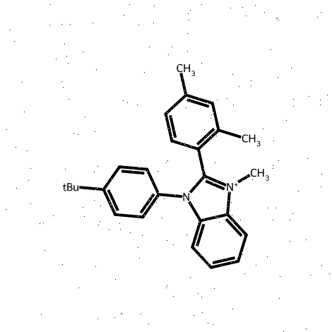 Cc1ccc(-c2n(-c3ccc(C(C)(C)C)cc3)c3ccccc3[n+]2C)c(C)c1